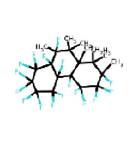 CC1(C)C(C)(F)C(F)(F)C(F)(F)C2(F)C1(C)C(C)(C)C(C)(F)C1(F)C(F)(F)C(F)(F)C(F)(F)C(F)(F)C12F